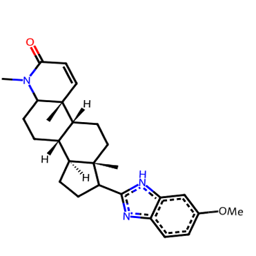 COc1ccc2nc(C3CC[C@H]4[C@@H]5CCC6N(C)C(=O)C=C[C@]6(C)[C@@H]5CC[C@]34C)[nH]c2c1